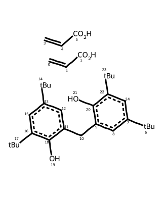 C=CC(=O)O.C=CC(=O)O.CC(C)(C)c1cc(Cc2cc(C(C)(C)C)cc(C(C)(C)C)c2O)c(O)c(C(C)(C)C)c1